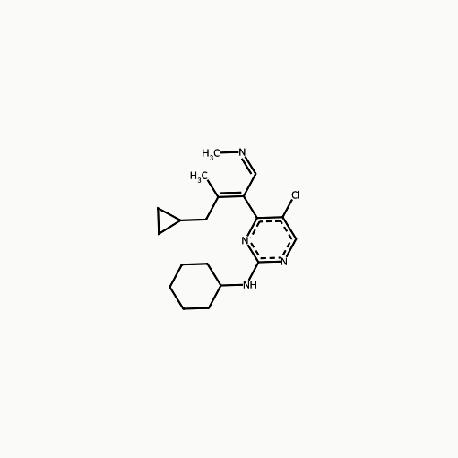 C/N=C\C(=C(/C)CC1CC1)c1nc(NC2CCCCC2)ncc1Cl